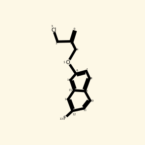 C=C(CCl)COc1ccc2ccc(F)cc2c1